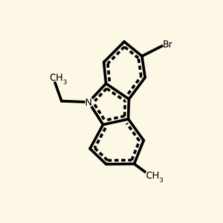 CCn1c2ccc(C)cc2c2cc(Br)ccc21